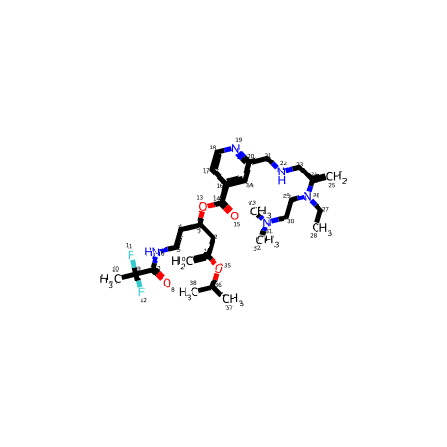 C=C(CC(CCNC(=O)C(C)(F)F)OC(=O)c1ccnc(CNCC(=C)N(CC)CCN(C)C)c1)OC(C)C